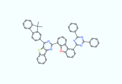 CC1(C)c2ccccc2-c2ccc(-c3nc(-c4cccc5c4oc4cccc(-c6nc(-c7ccccc7)nc(-c7ccccc7)n6)c45)nc4c3sc3ccccc34)cc21